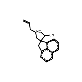 C=CCCCC1(C(C#N)C#N)Cc2cccc3cccc1c23